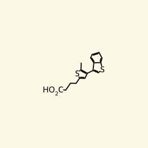 Cc1sc(CCCC(=O)O)cc1-c1csc2ccccc12